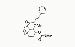 CNC(=O)OC1CCC2(CO2)C(C2(C)OC2CC=Cc2ccccc2)C1OC